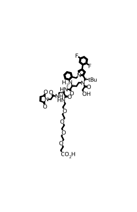 CC(C)(C)[C@H](c1cc(-c2cc(F)ccc2F)cn1Cc1ccccc1)N(CC[C@H](N)C(=O)N[C@H](CNC(=O)CN1C(=O)C=CC1=O)C(=O)NCCOCCOCCOCCOCCC(=O)O)C(=O)CO